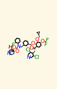 O=C(O[C@@H](Cc1c(Cl)cncc1Cl)c1ccc(OC(F)F)c(OCC2CC2)c1)c1cccc(CN(C(=O)O[C@H]2CN3CCC2CC3)c2ccccc2F)c1